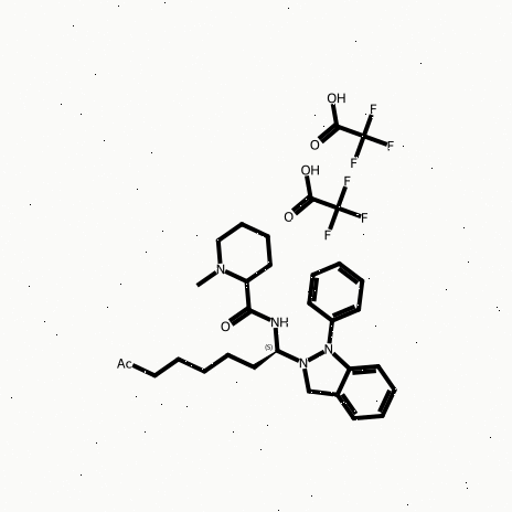 CC(=O)CCCCC[C@@H](NC(=O)C1CCCCN1C)N1Cc2ccccc2N1c1ccccc1.O=C(O)C(F)(F)F.O=C(O)C(F)(F)F